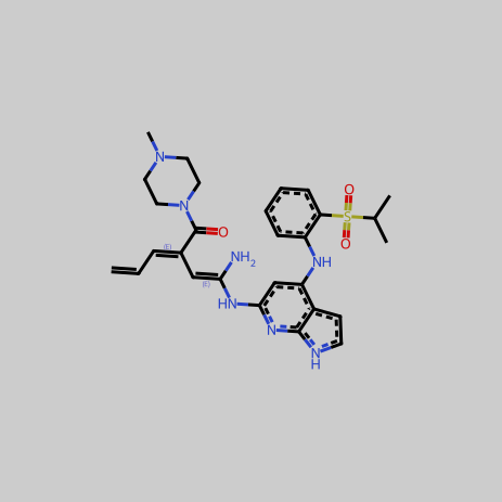 C=C/C=C(\C=C(/N)Nc1cc(Nc2ccccc2S(=O)(=O)C(C)C)c2cc[nH]c2n1)C(=O)N1CCN(C)CC1